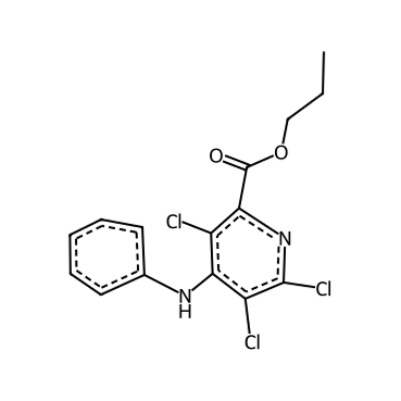 CCCOC(=O)c1nc(Cl)c(Cl)c(Nc2ccccc2)c1Cl